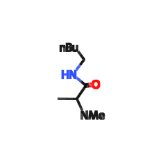 CCCCCNC(=O)C(C)NC